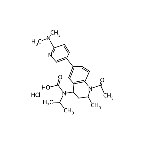 CC(=O)N1c2ccc(-c3ccc(N(C)C)nc3)cc2C(N(C(=O)O)C(C)C)CC1C.Cl